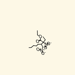 CCCCCC(C[N+](=O)[O-])C(CC)(C(=O)OCC)[N+](=O)[O-]